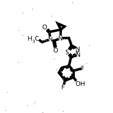 CCN1C(=O)N(Cc2nnc(-c3ccc(F)c(O)c3F)s2)C2(CC2)C1=O